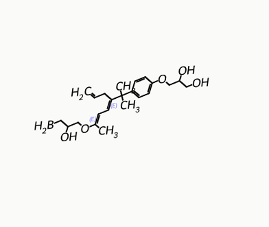 BCC(O)CO/C(C)=C/C=C(\CC=C)C(C)(C)c1ccc(OCC(O)CO)cc1